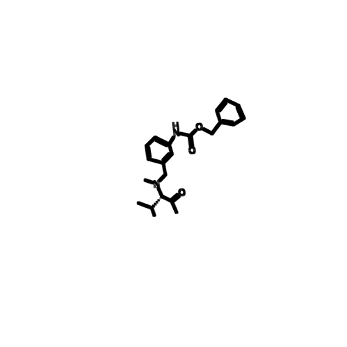 CC(=O)[C@H](C(C)C)N(C)Cc1cccc(NC(=O)OCc2ccccc2)c1